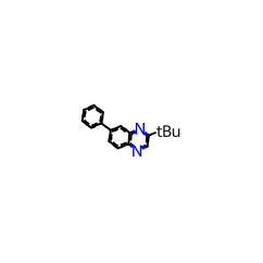 CC(C)(C)c1cnc2ccc(-c3ccccc3)cc2n1